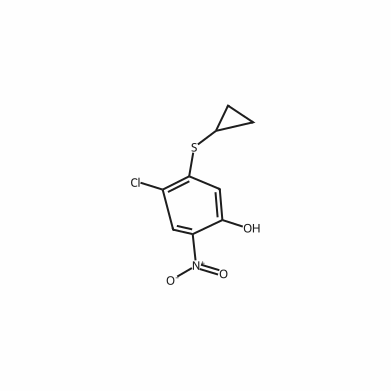 O=[N+]([O-])c1cc(Cl)c(SC2CC2)cc1O